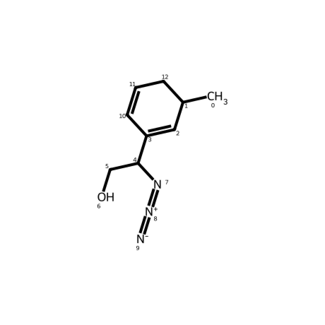 CC1C=C(C(CO)N=[N+]=[N-])C=CC1